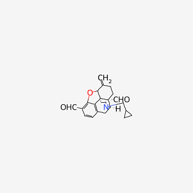 C=C1CC[C@@]2(C=O)[C@H]3Cc4ccc(C=O)c5c4[C@@]2(CCN3CC2CC2)C1O5